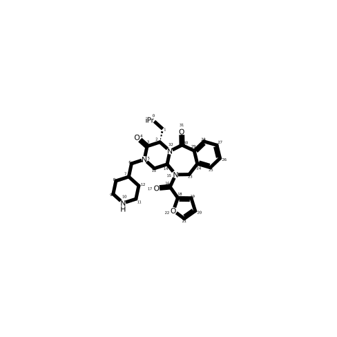 CC(C)C[C@H]1C(=O)N(CC2CCNCC2)CC2N(C(=O)c3ccco3)Cc3ccccc3C(=O)N21